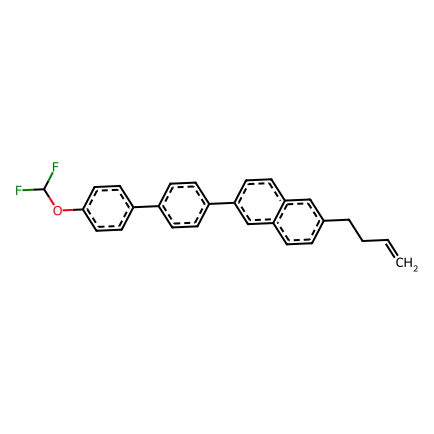 C=CCCc1ccc2cc(-c3ccc(-c4ccc(OC(F)F)cc4)cc3)ccc2c1